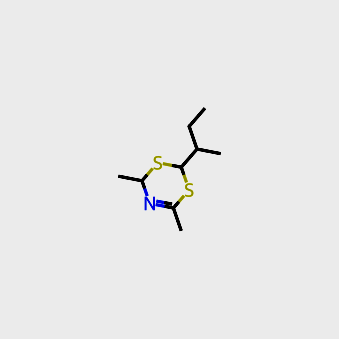 CCC(C)C1SC(C)=NC(C)S1